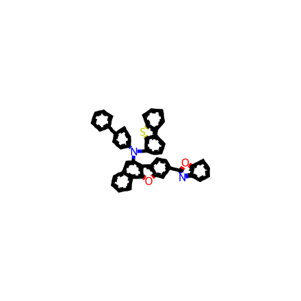 c1ccc(-c2ccc(N(c3cccc4c3sc3ccccc34)c3cc4ccccc4c4oc5cc(-c6nc7ccccc7o6)ccc5c34)cc2)cc1